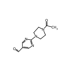 CC(=O)N1CCN(c2ncc(C=O)cn2)CC1